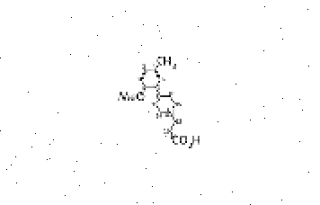 COc1ccc(C)cc1C1CCN(CCC(=O)O)CC1